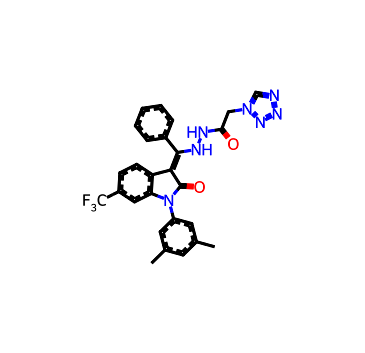 Cc1cc(C)cc(N2C(=O)/C(=C(\NNC(=O)Cn3cnnn3)c3ccccc3)c3ccc(C(F)(F)F)cc32)c1